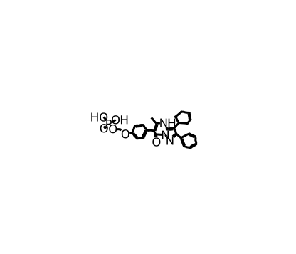 Cc1[nH]c2c(C3CC=CCC3)c(-c3ccccc3)nn2c(=O)c1-c1ccc(OCOP(=O)(O)O)cc1